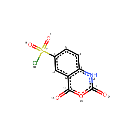 O=c1[nH]c2ccc(S(=O)(=O)Cl)cc2c(=O)o1